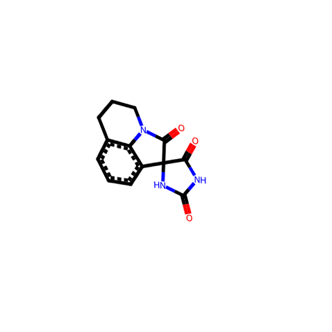 O=C1NC(=O)C2(N1)C(=O)N1CCCc3cccc2c31